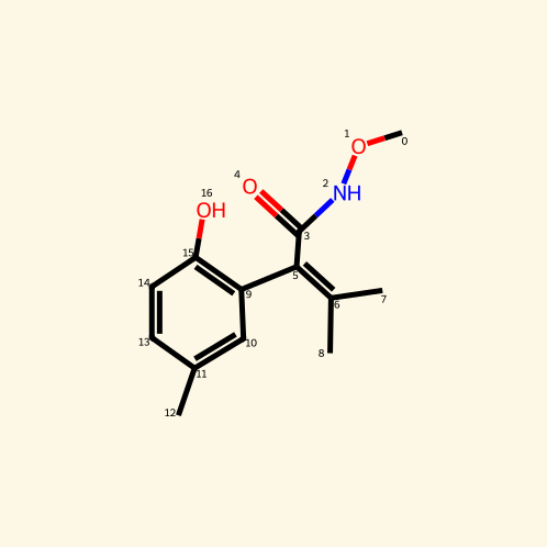 CONC(=O)C(=C(C)C)c1cc(C)ccc1O